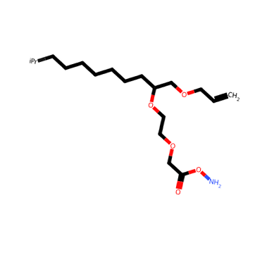 C=CCOCC(CCCCCCCC(C)C)OCCOCC(=O)ON